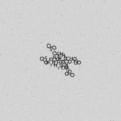 CC1(C)c2cc(-c3cccc4c3oc3ccccc34)ccc2N2c3ccc(-c4cccc5c4oc4ccccc45)cc3C(C)(C)c3cc(-c4cc5c6c(c4)C(C)(C)c4cc(-c7cccc8c7sc7ccccc78)ccc4N6c4ccc(-c6cccc7c6sc6ccccc67)cc4C5(C)C)cc1c32